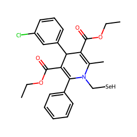 CCOC(=O)C1=C(C)N(C[SeH])C(c2ccccc2)=C(C(=O)OCC)C1c1cccc(Cl)c1